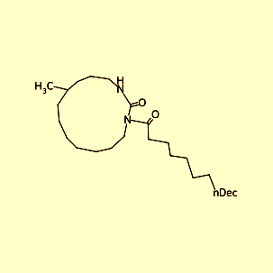 CCCCCCCCCCCCCCCCC(=O)N1CCCCCCCC(C)CCCNC1=O